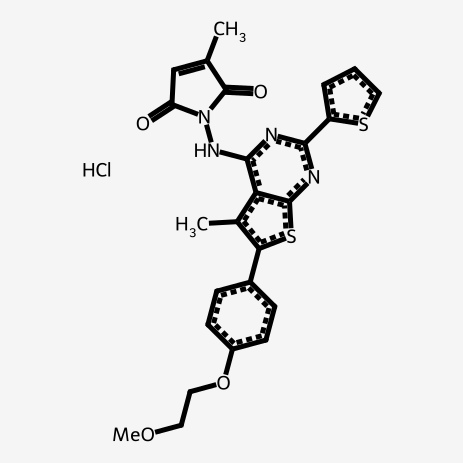 COCCOc1ccc(-c2sc3nc(-c4cccs4)nc(NN4C(=O)C=C(C)C4=O)c3c2C)cc1.Cl